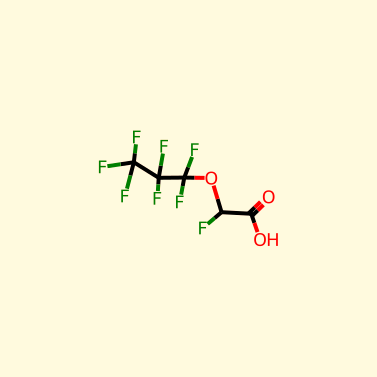 O=C(O)C(F)OC(F)(F)C(F)(F)C(F)(F)F